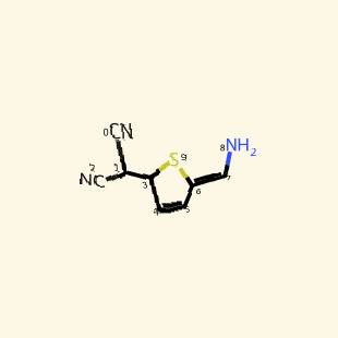 N#CC(C#N)C1C=C/C(=C/N)S1